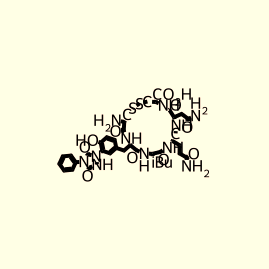 CCC(C)C1NC(=O)C(Cc2ccc(O)c(-n3[nH]c(=O)n(-c4ccccc4)c3=O)c2)NC(=O)C(N)CSSCC(C(=O)O)NC(=O)C(CC(N)=O)NCC(CCC(N)=O)NC1=O